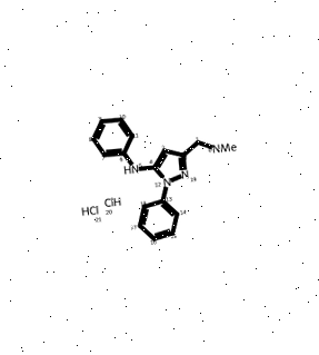 CNCc1cc(Nc2ccccc2)n(-c2ccccc2)n1.Cl.Cl